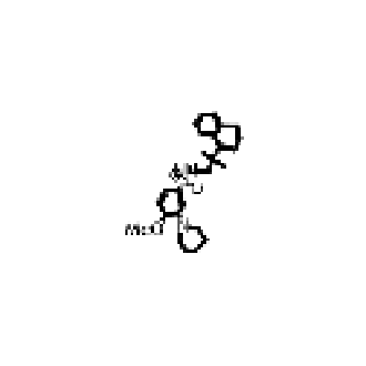 COc1ccc(S(=O)(=O)NCC(C)(C)c2cccc3ccccc23)cc1N1CCCCC1